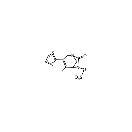 CC1=C(c2nccs2)CN2CC1N(OS(=O)(=O)O)C2=O